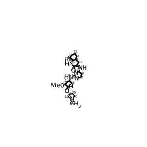 COc1cc(Nc2nccc(Nc3cc4cccc(F)c4[nH]c3=O)n2)cnc1O[C@@H]1CCN(C)C1